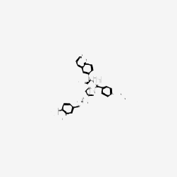 N#Cc1ccc(C(=O)N2C/C(=N/OCc3ccc(Cl)c(Cl)c3)C[C@H]2C(=O)Nc2ccc3ncccc3c2)cc1